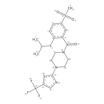 CC(C)Sc1ccc(S(C)(=O)=O)cc1C(=O)N1CCN(c2ncc(C(F)(F)F)s2)CC1